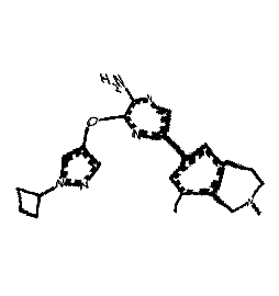 Cc1cc(-c2cnc(N)c(Oc3cnn(C4CCC4)c3)n2)cc2c1CN(C)CC2